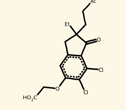 CCC1(CCC(C)=O)Cc2cc(OCC(=O)O)c(Cl)c(Cl)c2C1=O